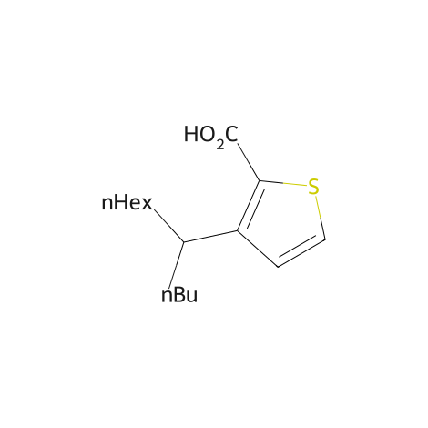 CCCCCCC(CCCC)c1ccsc1C(=O)O